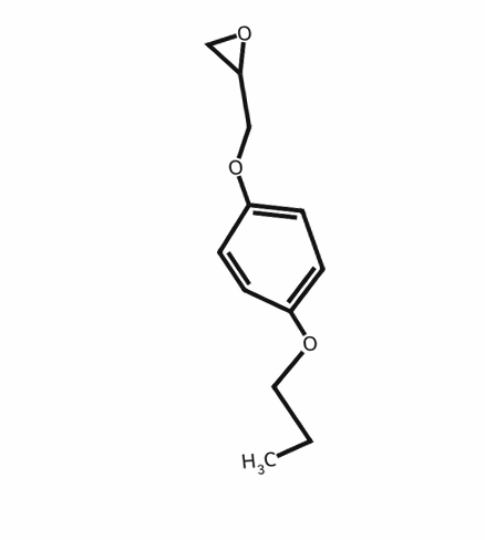 CCCOc1ccc(OCC2CO2)cc1